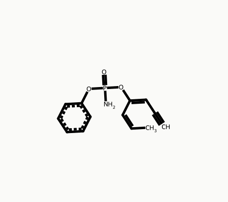 C#C/C=C(\C=C/C)OP(N)(=O)Oc1ccccc1